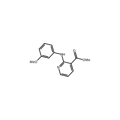 COC(=O)c1cccnc1Nc1cccc(OC)c1